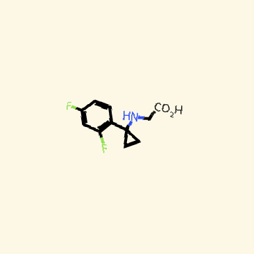 O=C(O)CNC1(c2ccc(F)cc2F)CC1